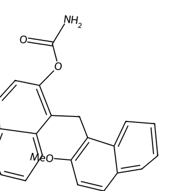 COc1ccc2ccccc2c1Cc1c(OC(N)=O)ccc2ccccc12